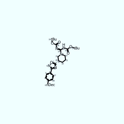 CCCCCCCCCCc1ccc(-c2noc([C@H]3CCCN(C(=NC(=O)OC(C)(C)C)NC(=O)OC(C)(C)C)C3)n2)cc1